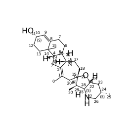 CC1=C2C[C@H]3[C@@H](CCC4=C[C@@H](O)CCC43C)[C@@H]2CC[C@@]2(C1)O[C@@H]1C[C@H](C)CN[C@H]1[C@H]2C